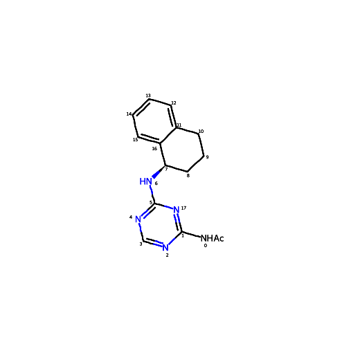 CC(=O)Nc1ncnc(N[C@@H]2CCCc3ccccc32)n1